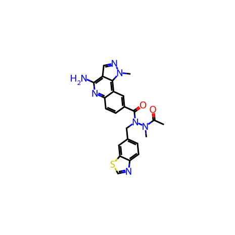 CC(=O)N(C)N(Cc1ccc2ncsc2c1)C(=O)c1ccc2nc(N)c3cnn(C)c3c2c1